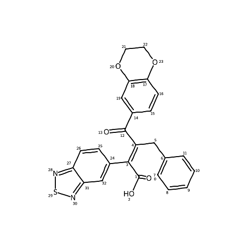 O=C(O)C(=C(Cc1ccccc1)C(=O)c1ccc2c(c1)OCCO2)c1ccc2nsnc2c1